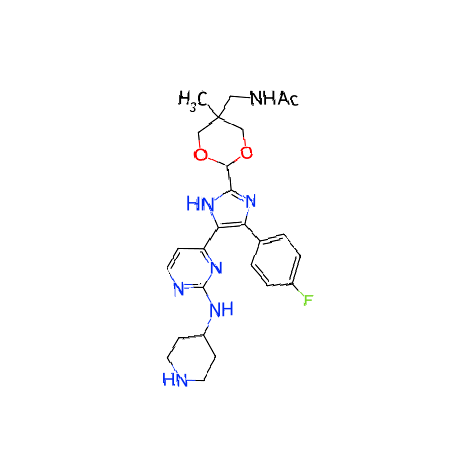 CC(=O)NCC1(C)COC(c2nc(-c3ccc(F)cc3)c(-c3ccnc(NC4CCNCC4)n3)[nH]2)OC1